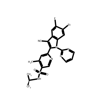 CCc1cc2c(cc1F)c(C#N)c(-c1cc(C)c(S(=O)(=O)N[C@H](C)C(F)(F)F)cn1)n2-c1ncccn1